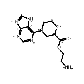 NCCNC(=O)C1CN(c2ncnc3nc[nH]c23)CCS1